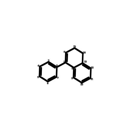 C1=C(c2ccccc2)c2ccccc2CC1